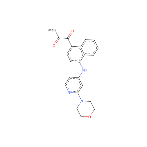 COC(=O)C(=O)c1ccc(Nc2ccnc(N3CCOCC3)c2)c2ccccc12